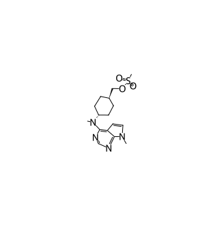 Cn1ccc2c(N(C)[C@H]3CC[C@H](COS(C)(=O)=O)CC3)ncnc21